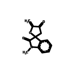 C=C1OC2(CC1=O)C(=O)N(C)c1ccccc12